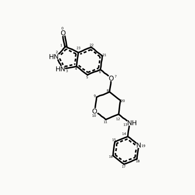 O=c1[nH][nH]c2cc(OC3COCC(Nc4ccccn4)C3)ccc12